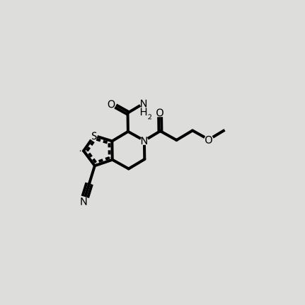 COCCC(=O)N1CCc2c(C#N)[c]sc2C1C(N)=O